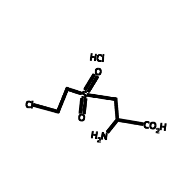 Cl.NC(CS(=O)(=O)CCCl)C(=O)O